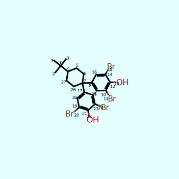 CC(C)(C)C1CCC(c2cc(Br)c(O)c(Br)c2)(c2cc(Br)c(O)c(Br)c2)CC1